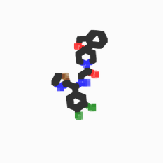 O=C(CNC(c1ccc(Cl)c(Cl)c1)c1nccs1)N1CCC2(CC1)OCc1ccccc12